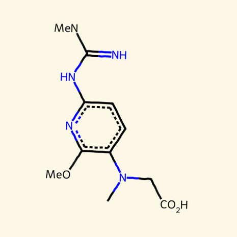 CNC(=N)Nc1ccc(N(C)CC(=O)O)c(OC)n1